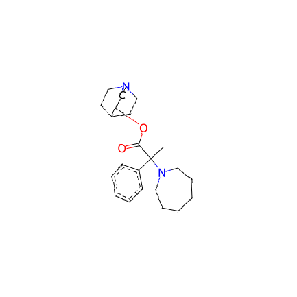 CC(C(=O)OC1CN2CCC1CC2)(c1ccccc1)N1CCCCCC1